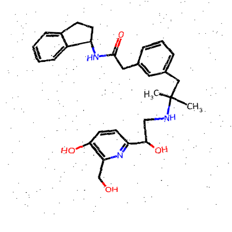 CC(C)(Cc1cccc(CC(=O)NC2CCc3ccccc32)c1)NCC(O)c1ccc(O)c(CO)n1